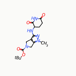 Cn1nc(NC2CCC(=O)NC2=O)c2c1CN(C(=O)OC(C)(C)C)C2